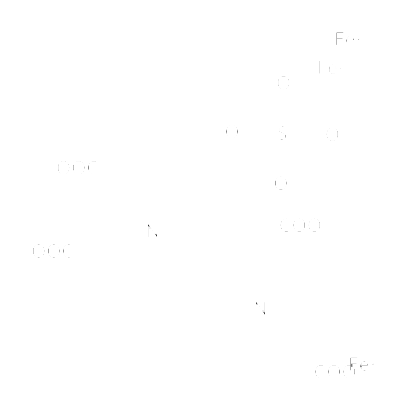 O=C([O-])CN(CCN(CC(=O)[O-])CC(=O)[O-])CC(=O)[O-].O=S(=O)([O-])[O-].[Fe+2].[Fe+2].[Fe+2]